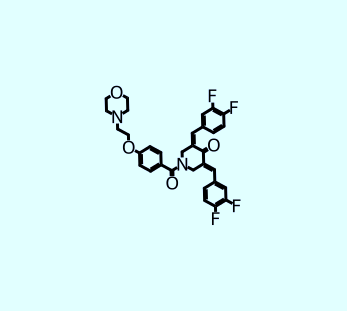 O=C1C(=Cc2ccc(F)c(F)c2)CN(C(=O)c2ccc(OCCN3CCOCC3)cc2)CC1=Cc1ccc(F)c(F)c1